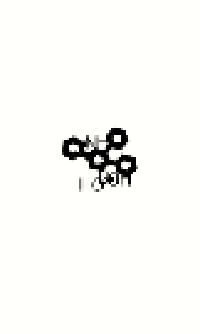 OB(O)c1cc2c([nH]c3ccccc32)c(-c2ccccc2)c1-c1ccccc1